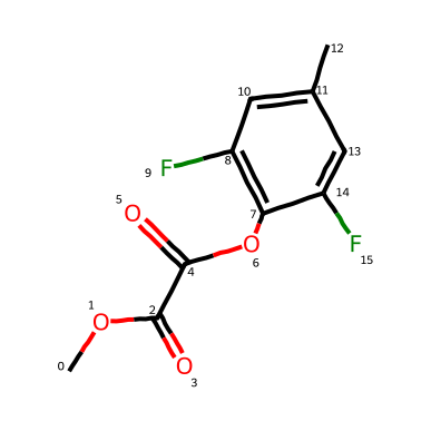 COC(=O)C(=O)Oc1c(F)cc(C)cc1F